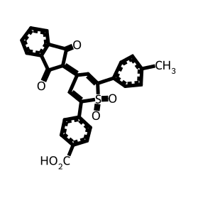 Cc1ccc(C2=CC(=C3C(=O)c4ccccc4C3=O)C=C(c3ccc(C(=O)O)cc3)S2(=O)=O)cc1